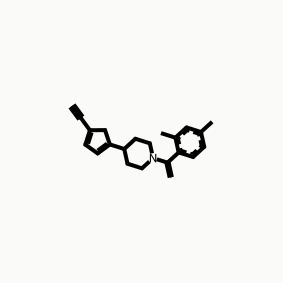 C#CC1=CC=C(C2CCN(C(=C)c3ccc(C)cc3C)CC2)C1